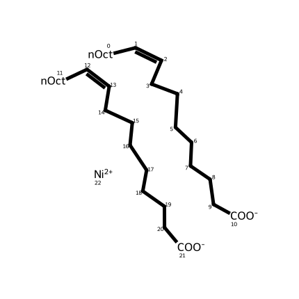 CCCCCCCC/C=C\CCCCCCCC(=O)[O-].CCCCCCCC/C=C\CCCCCCCC(=O)[O-].[Ni+2]